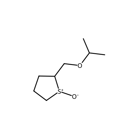 CC(C)OCC1CCC[S+]1[O-]